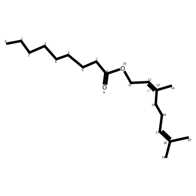 CCCCCCCCC(=O)OC/C=C(/C)CCC=C(C)C